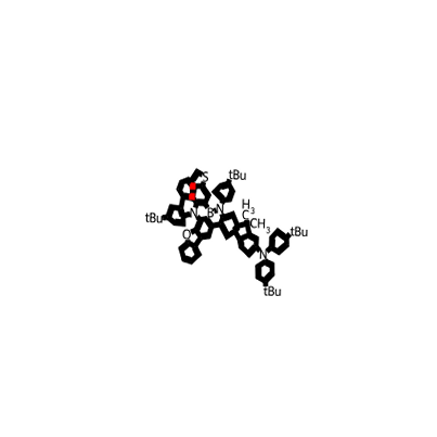 CC(C)(C)c1ccc(N2B3c4cc5sccc5cc4N(c4ccc(C(C)(C)C)cc4-c4ccccc4)c4c3c(cc3c4oc4ccccc43)-c3cc4c(cc32)C(C)(C)c2cc(N(c3ccc(C(C)(C)C)cc3)c3ccc(C(C)(C)C)cc3)ccc2-4)cc1